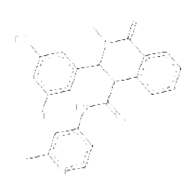 Cc1cc(NC(=O)C2c3ccccc3C(=O)N(C)C2c2cc(C(F)(F)F)cc(C(F)(F)F)c2)ccn1